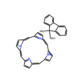 C1=Cc2cc3ccc(cc4nc(cc5ccc(cc1n2)[nH]5)C=C4)[nH]3.CCCCCCCCC1(CCCCCCCC)c2ccccc2-c2ccccc21